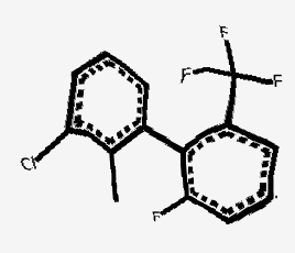 Cc1c(Cl)cccc1-c1c(F)c[c]cc1C(F)(F)F